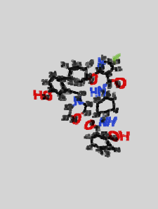 O=C(N[C@H]1CC[C@H](NC(=O)c2cc(F)cnc2Oc2cccc(-c3ccc(O)cc3CN3CCOCC3)c2)CC1)c1ccccc1O